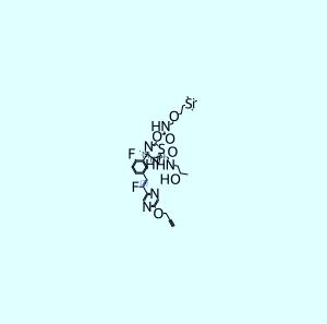 C#CCOc1cnc(/C(F)=C/c2ccc(F)c([C@@]3(C)N=C(OC(=O)NCOCC[Si](C)(C)C)S[C@@]4(C(=O)NCC(C)O)C[C@H]43)c2)cn1